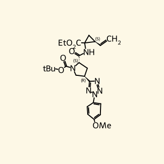 C=C[C@@H]1CC1(NC(=O)[C@@H]1C[C@@H](c2nnn(-c3ccc(OC)cc3)n2)CN1C(=O)OC(C)(C)C)C(=O)OCC